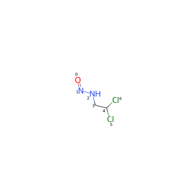 O=NNCC(Cl)Cl